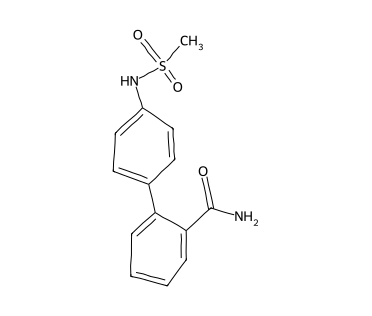 CS(=O)(=O)Nc1ccc(-c2ccccc2C(N)=O)cc1